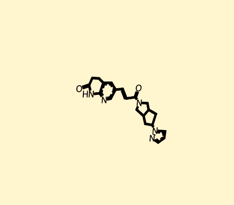 O=C1CCc2cc(/C=C/C(=O)N3CC4CC(n5cccn5)CC4C3)cnc2N1